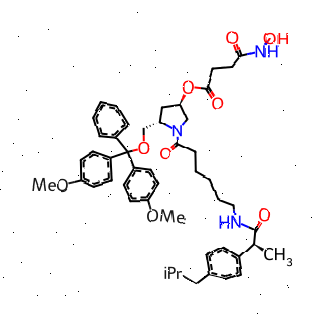 COc1ccc(C(OC[C@@H]2C[C@@H](OC(=O)CCC(=O)NO)CN2C(=O)CCCCCNC(=O)[C@@H](C)c2ccc(CC(C)C)cc2)(c2ccccc2)c2ccc(OC)cc2)cc1